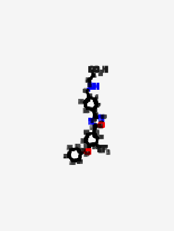 O=C(O)CCNCc1ccc(-c2noc(-c3ccc(OC4CCCCC4)c(C(F)(F)F)c3)n2)cc1